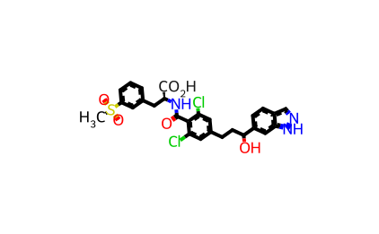 CS(=O)(=O)c1cccc(C[C@H](NC(=O)c2c(Cl)cc(CCC(O)c3ccc4cn[nH]c4c3)cc2Cl)C(=O)O)c1